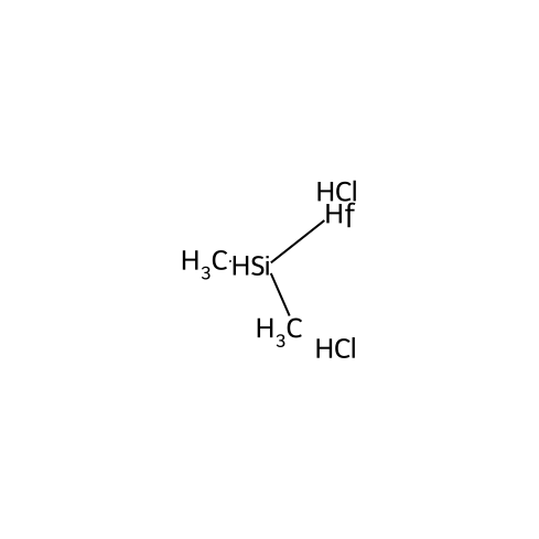 C[SiH](C)[Hf].Cl.Cl